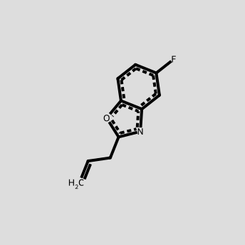 C=CCc1nc2cc(F)ccc2o1